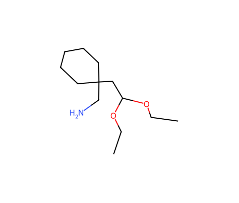 CCOC(CC1(CN)CCCCC1)OCC